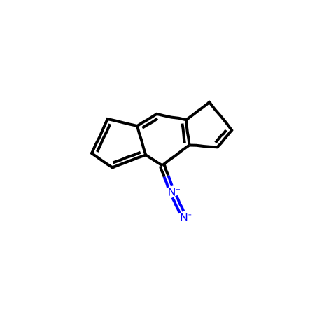 [N-]=[N+]=C1C2=CC=CC2=CC2=C1C=CC2